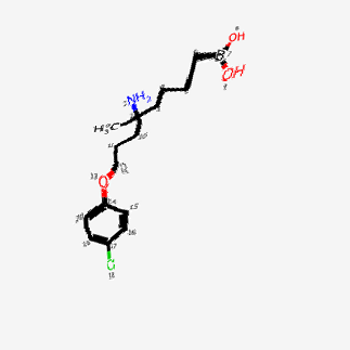 CC(N)(CCCCB(O)O)CCCOc1ccc(Cl)cc1